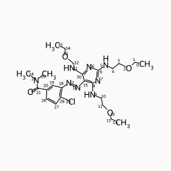 CCOCCNc1nc(NCCOCC)c(N=Nc2cc(C(=O)N(C)C)ccc2Cl)c(NCOCC)n1